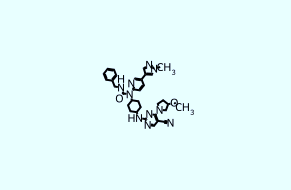 COC1CCN(c2nc(NC3CCC(N(C(=O)NCc4ccccc4)c4ccc(-c5cnn(C)c5)cn4)CC3)ncc2C#N)C1